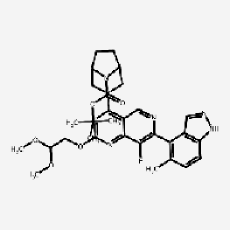 COC(COc1nc(N2CC3CCC(C2)N3C(=O)OC(C)(C)C)c2cnc(-c3c(C)ccc4[nH]ncc34)c(F)c2n1)OC